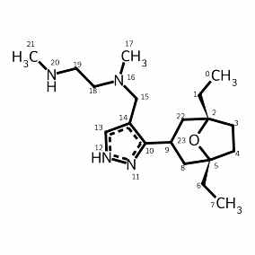 CC[C@]12CC[C@](CC)(CC(c3n[nH]cc3CN(C)CCNC)C1)O2